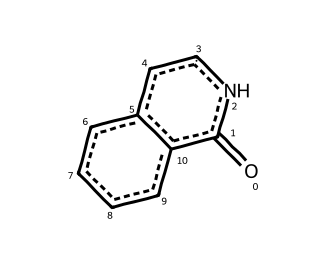 O=c1[nH][c]cc2ccccc12